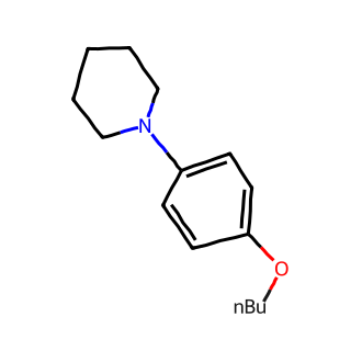 CCCCOc1ccc(N2CCCCC2)cc1